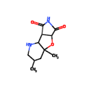 CC1CNC2C3C(=O)NC(=O)C3OC2(C)C1